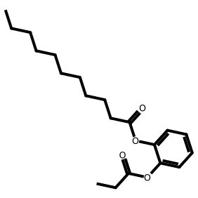 CCCCCCCCCCC(=O)Oc1ccccc1OC(=O)CC